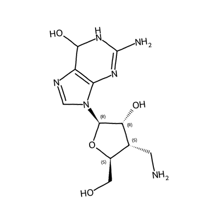 NC[C@H]1[C@@H](O)[C@H](n2cnc3c2N=C(N)NC3O)O[C@@H]1CO